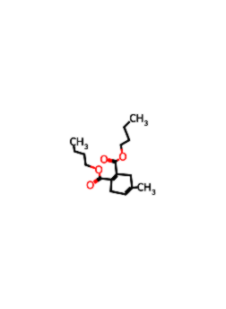 CCCCOC(=O)C1=C(C(=O)OCCCC)CC(C)=CC1